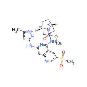 Cc1cc(Nc2cc3ncc(S(C)(=O)=O)cc3c(N[C@@H]3C[C@H]4CC[C@@H](C3)N4C(=O)OC(C)(C)C)n2)n[nH]1